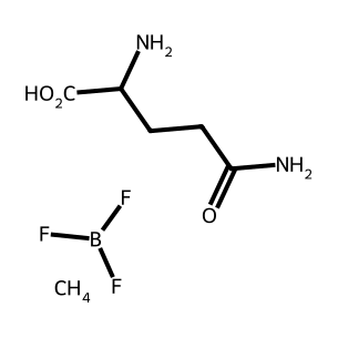 C.FB(F)F.NC(=O)CCC(N)C(=O)O